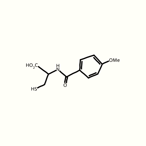 COc1ccc(C(=O)NC(CS)C(=O)O)cc1